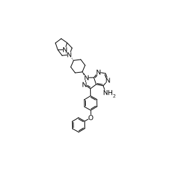 CN1C2CCC1CN([C@H]1CC[C@H](n3nc(-c4ccc(Oc5ccccc5)cc4)c4c(N)ncnc43)CC1)C2